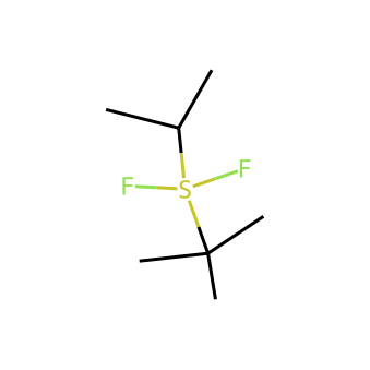 CC(C)S(F)(F)C(C)(C)C